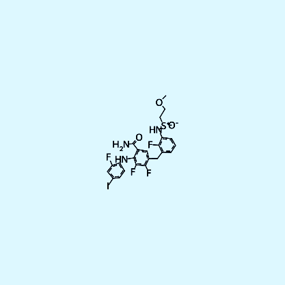 COCC[S+]([O-])Nc1cccc(Cc2cc(C(N)=O)c(Nc3ccc(I)cc3F)c(F)c2F)c1F